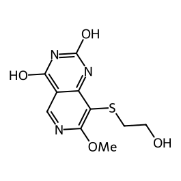 COc1ncc2c(O)nc(O)nc2c1SCCO